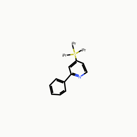 CC(C)S(c1ccnc(-c2ccccc2)c1)(C(C)C)C(C)C